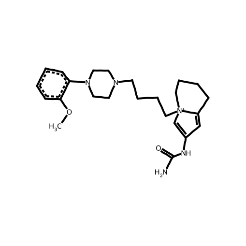 COc1ccccc1N1CCN(CCCC[N+]23C=C(NC(N)=O)C=C2CCCC3)CC1